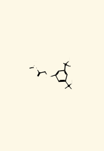 CNC(=O)COc1cc(C(F)(F)F)cc(C(F)(F)F)c1